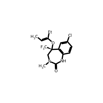 CC=C(CC)O[C@@]1(C(F)(F)F)CN(C)C(=O)Nc2ccc(Cl)cc21